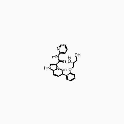 O=C(Nc1ccccn1)C1=CNC2C=CC(c3ccccc3OC[C@H](O)CO)NN12